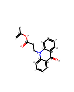 C=C(C)OC(=O)CCn1c2ccccc2c(=O)c2ccccc21